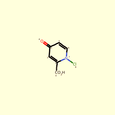 O=C(O)c1cc(=O)ccn1Cl